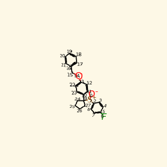 [O-][S+](c1ccc(F)cc1)C1(c2ccc(OCc3ccccc3)cc2)CCCC1